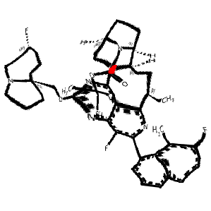 Cc1c(F)ccc2cccc(-c3nc4c5c(nc(OC[C@@]67CCCN6C[C@H](F)C7)nc5c3F)N3C[C@H]5CC[C@@H]([C@H]3C[C@H]4C)N5C(=O)OC(C)(C)C)c12